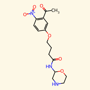 CC(=O)c1cc(OCCCC(=O)NC2CNCCO2)ccc1[N+](=O)[O-]